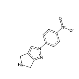 O=[N+]([O-])c1ccc(-n2cc3c(n2)CNC3)cc1